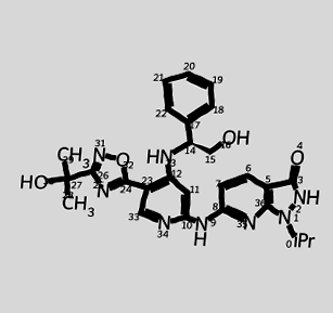 CC(C)n1[nH]c(=O)c2ccc(Nc3cc(N[C@H](CO)c4ccccc4)c(-c4nc(C(C)(C)O)no4)cn3)nc21